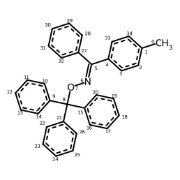 Cc1ccc(C(=NOC(c2ccccc2)(c2ccccc2)c2ccccc2)c2ccccc2)cc1